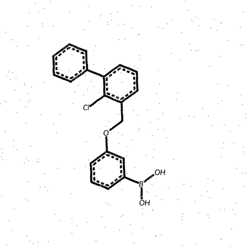 OB(O)c1cccc(OCc2cccc(-c3ccccc3)c2Cl)c1